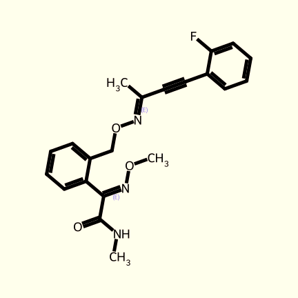 CNC(=O)/C(=N/OC)c1ccccc1CO/N=C(\C)C#Cc1ccccc1F